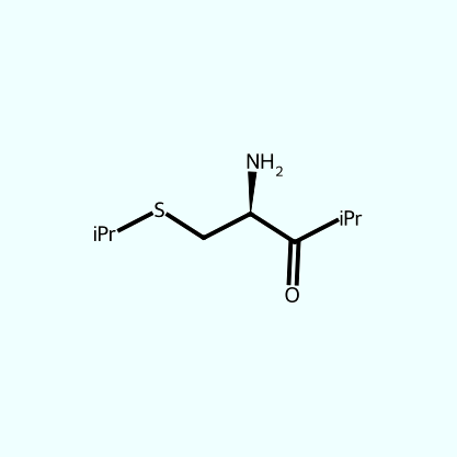 CC(C)SC[C@@H](N)C(=O)C(C)C